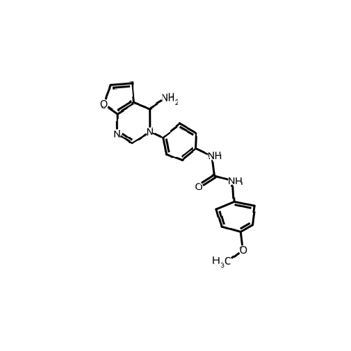 COc1ccc(NC(=O)Nc2ccc(N3C=Nc4occc4C3N)cc2)cc1